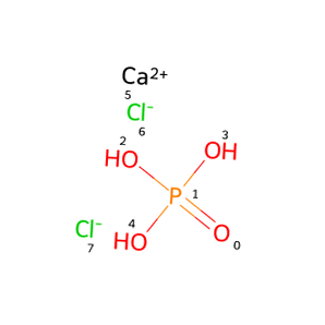 O=P(O)(O)O.[Ca+2].[Cl-].[Cl-]